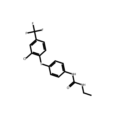 CCNC(=O)Nc1ccc(Sc2ccc(C(F)(F)F)cc2Cl)cc1